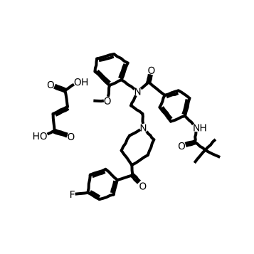 COc1ccccc1N(CCN1CCC(C(=O)c2ccc(F)cc2)CC1)C(=O)c1ccc(NC(=O)C(C)(C)C)cc1.O=C(O)/C=C/C(=O)O